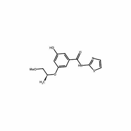 COC[C@H](C)Oc1cc(O)cc(C(=O)Nc2nccs2)c1